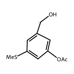 CSc1cc([CH]O)cc(OC(C)=O)c1